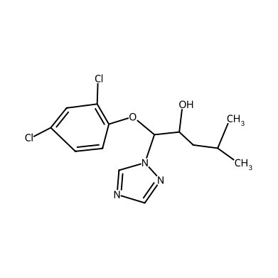 CC(C)CC(O)C(Oc1ccc(Cl)cc1Cl)n1cncn1